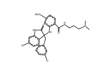 COc1ccc(C(=O)NCCCN(C)C)c(NC2(Cc3cccc(Cl)c3)C(=O)Nc3cc(Cl)ccc32)c1